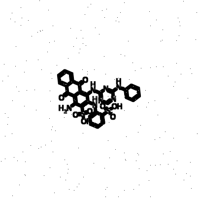 Nc1c2c(c(Nc3ncnc(Nc4ccccc4)n3)c(Nc3ccccc3S(=O)(=O)O)c1S(=O)(=O)O)C(=O)c1ccccc1C2=O